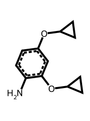 Nc1ccc(OC2CC2)cc1OC1CC1